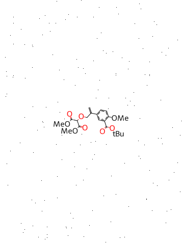 C=C(COC(C(=O)OC)C(=O)OC)c1ccc(OC)c(C(=O)OC(C)(C)C)c1